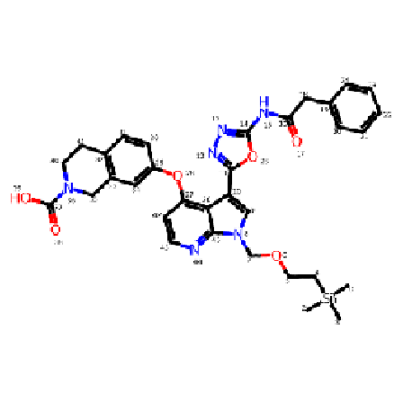 C[Si](C)(C)CCOCn1cc(-c2nnc(NC(=O)Cc3ccccc3)o2)c2c(Oc3ccc4c(c3)CN(C(=O)O)CC4)ccnc21